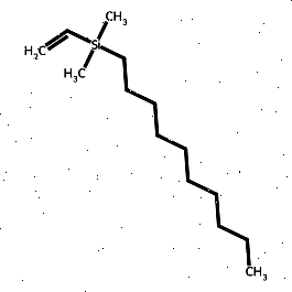 C=C[Si](C)(C)CCCCCCCCCC